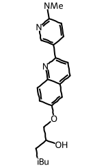 CCC(C)CC(O)COc1ccc2nc(-c3ccc(NC)nc3)ccc2c1